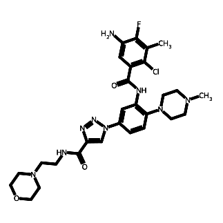 Cc1c(F)c(N)cc(C(=O)Nc2cc(-n3cc(C(=O)NCCN4CCOCC4)nn3)ccc2N2CCN(C)CC2)c1Cl